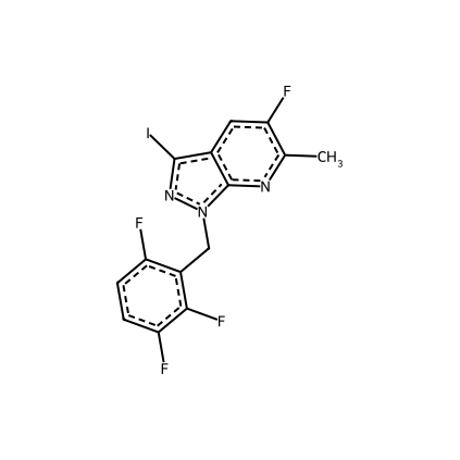 Cc1nc2c(cc1F)c(I)nn2Cc1c(F)ccc(F)c1F